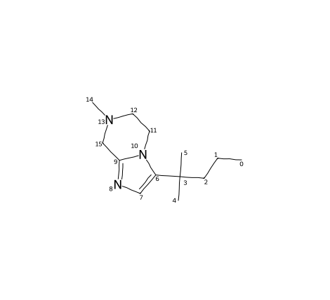 CCCC(C)(C)c1cnc2n1CCN(C)C2